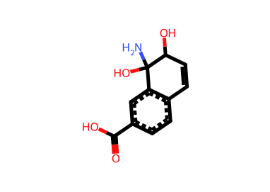 NC1(O)c2cc(C(=O)O)ccc2C=CC1O